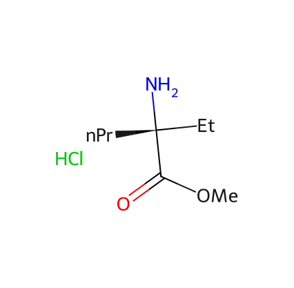 CCC[C@@](N)(CC)C(=O)OC.Cl